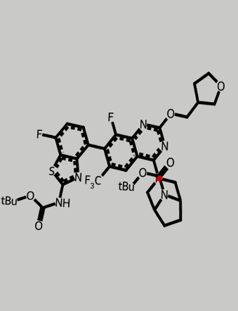 CC(C)(C)OC(=O)Nc1nc2c(-c3c(C(F)(F)F)cc4c(N5CC6CCC(C5)N6C(=O)OC(C)(C)C)nc(OCC5CCOC5)nc4c3F)ccc(F)c2s1